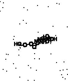 OCc1ccc(-c2ccc(-c3nc4nc(O[C@@H]5CO[C@H]6[C@@H]5OC[C@H]6O)[nH]c4cc3Cl)cc2)cc1